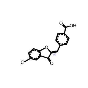 O=C(O)c1ccc(/C=C2\Oc3ccc(Cl)cc3C2=O)cc1